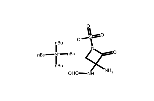 CCCC[N+](CCCC)(CCCC)CCCC.NC1(NC=O)CN(S(=O)(=O)[O-])C1=O